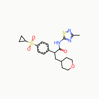 Cc1nsc(NC(=O)C(CC2CCOCC2)c2ccc(S(=O)(=O)C3CC3)cc2)n1